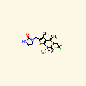 C=C1c2c(sc(CN3CCNC3=O)c2C)N(C)C(=C)N1CC(F)(F)F